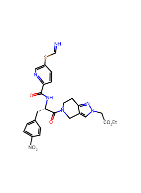 CCOC(=O)Cn1cc2c(n1)CCN(C(=O)[C@H](Cc1ccc([N+](=O)[O-])cc1)NC(=O)c1ccc(SC=N)cn1)C2